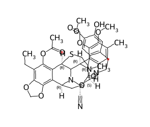 CCc1c2c(c3c(c1OC(C)=O)[C@H]1SC[C@]4(NCCc5cc(O)c(OC)cc54)C(=O)OC[C@@H]3N3C1[C@H]1c4c(cc(C)c(OC)c4OC=O)C[C@@H]([C@@H]3C#N)N1C)OCO2